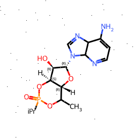 CC1OP(=O)(C(C)C)O[C@H]2[C@@H](O)[C@H](N3C=NC4C(N)=CC=NC43)O[C@H]12